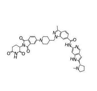 Cc1nn(CC2CCN(c3ccc4c(c3)C(=O)N(C3CCC(=O)NC3=O)C4=O)CC2)c2cc(C(=O)Nc3cc4[nH]c([C@H]5CCCN5C)cc4cn3)ccc12